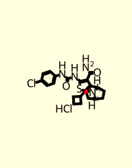 Cl.NC(=O)c1c(NC(=O)Nc2ccc(Cl)cc2)sc2c1[C@H]1CC[C@@H](C2)N1CC1CCC1